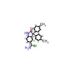 Cc1ccc(C2(c3ccc(C)cc3)C(=O)Nc3ccc(C(N)Br)cc32)cc1